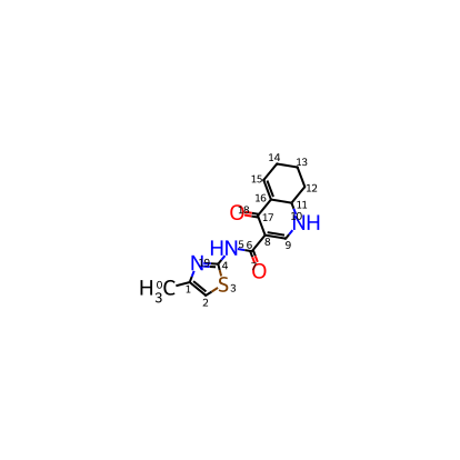 Cc1csc(NC(=O)C2=CNC3CCCC=C3C2=O)n1